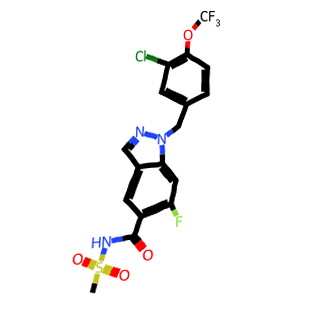 CS(=O)(=O)NC(=O)c1cc2cnn(Cc3ccc(OC(F)(F)F)c(Cl)c3)c2cc1F